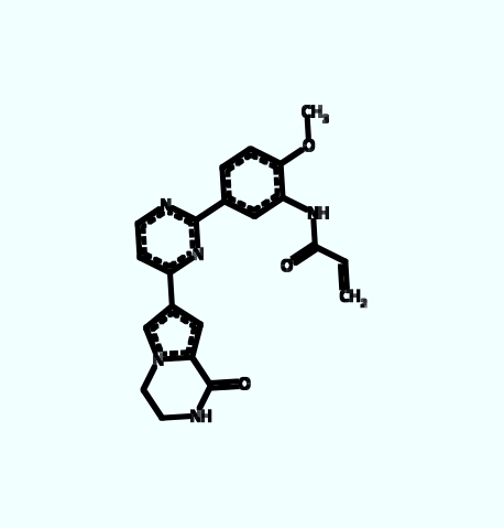 C=CC(=O)Nc1cc(-c2nccc(-c3cc4n(c3)CCNC4=O)n2)ccc1OC